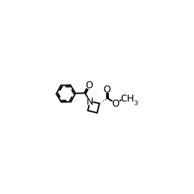 COC(=O)[C@@H]1CCN1C(=O)c1ccccc1